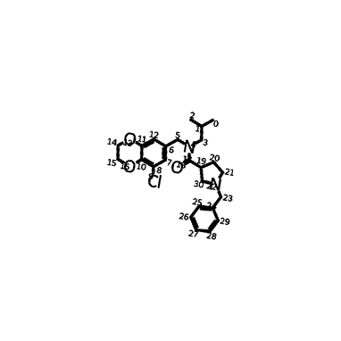 CC(C)CN(Cc1cc(Cl)c2c(c1)OCCO2)C(=O)C1CCN(Cc2ccccc2)C1